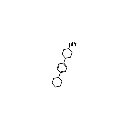 CCCC1CCC(c2ccc(C3CCCCC3)cc2)CC1